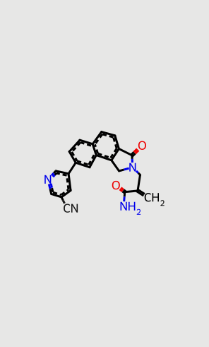 C=C(CN1Cc2c(ccc3ccc(-c4cncc(C#N)c4)cc23)C1=O)C(N)=O